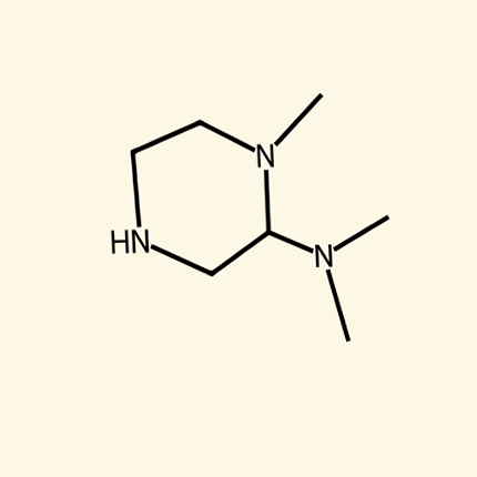 CN(C)C1CNCCN1C